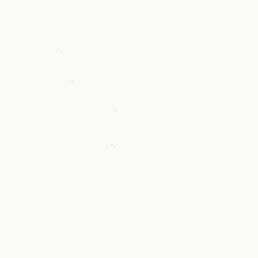 O=C(NC(Cc1ccc(Cl)cc1)C(=O)NCc1cnc2[nH]ccc2c1)C(O)Cc1ccccc1